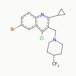 FC(F)(F)C1CCN(Cc2c(C3CC3)nc3ccc(Br)cc3c2Cl)CC1